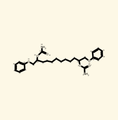 NC(=O)OC(CCCCCCCCC(COc1ccccc1)OC(N)=O)COc1ccccc1